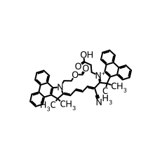 CC1(C)C(/C(C#N)=C/C=C/C=C2\N(CCOC=O)c3c(c4ccccc4c4ccccc34)C2(C)C)=[N+](CCC(=O)O)c2c1c1ccccc1c1ccccc21